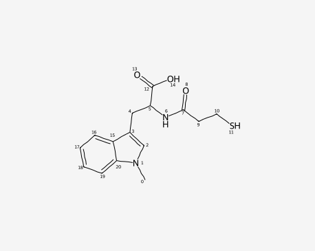 Cn1cc(CC(NC(=O)CCS)C(=O)O)c2ccccc21